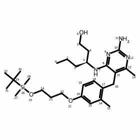 CCC[C@@H](CCO)Nc1nc(N)nc(C)c1Cc1ccc(OCCCO[Si](C)(C)C(C)(C)C)cc1C